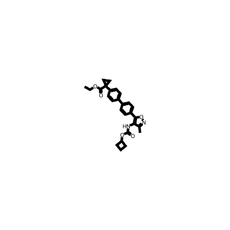 CCOC(=O)C1(c2ccc(-c3ccc(-c4onc(C)c4NC(=O)OC4CCC4)cc3)cc2)CC1